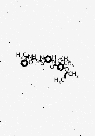 CCC[C@@H](C)Oc1ccc(C(=O)Nc2ccc3nc(SCC(=O)N[C@@H](C)c4ccccc4)sc3c2)c(OC)c1C